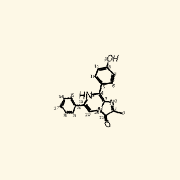 Cc1nc2c(-c3ccc(O)cc3)[nH]c(-c3ccccc3)cn-2c1=O